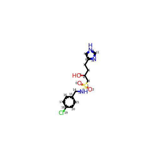 O=S(=O)(CC(O)CCc1c[nH]cn1)NCc1ccc(Cl)cc1